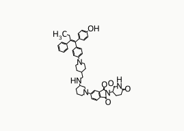 CCC(=C(c1ccc(O)cc1)c1ccc(N2CCC(CNC3CCCN(c4ccc5c(c4)C(=O)N(C4CCC(=O)NC4=O)C5=O)C3)CC2)cc1)c1ccccc1